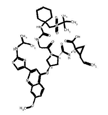 C=CC1C[C@]1(NC(=O)[C@@H]1C[C@@H](Oc2cc(-c3csc(NC(C)C)n3)nc3cc(OC)ccc23)CN1C(=O)CNC(=O)NC1(CS(=O)(=O)C(C)(C)C)CCCCC1)C(=O)O